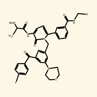 CNC(C)C(=O)Nc1ccc(-c2cccc(C(=O)NCC(C)C)c2)n(Cc2cc(C(=O)c3ccc(F)cc3)cc(N3CCOCC3)c2)c1=O